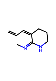 C=C/C=C1/CCCN/C1=N/C